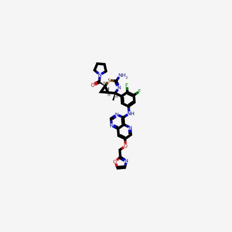 C[C@]1(c2cc(Nc3ncnc4cc(OCc5ncco5)cnc34)cc(F)c2F)N=C(N)S[C@@]2(C(=O)N3CCCC3)C[C@H]21